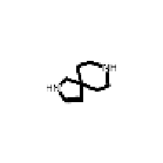 C1=CC2(CCNCC2)CN1